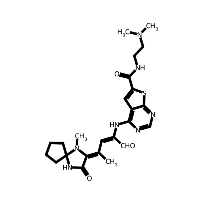 CC(/C=C(\C=O)Nc1ncnc2sc(C(=O)NCCN(C)C)cc12)=C1\C(=O)NC2(CCCC2)N1C